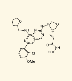 COc1cccc(-c2cc3cnc(N[C@@H]4COC[C@@H]4C=CC(=O)NC=O)nc3c(NCC3CCCO3)n2)c1Cl